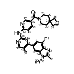 Cc1nc2c(F)cc(-c3nc(Nc4ccc(C(=O)N5CCC6(CC5)COC6)cn4)ncc3F)cc2n1C(C)C